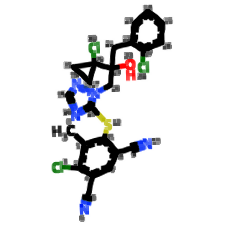 Cc1c(Cl)c(C#N)cc(C#N)c1Sc1ncnn1CC(O)(Cc1ccccc1Cl)C1(Cl)CC1